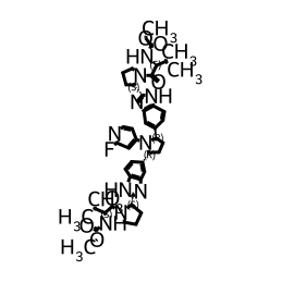 COC(=O)N[C@H](C(=O)N1CCC[C@H]1c1nc2cc([C@H]3CC[C@H](c4ccc5[nH]c([C@@H]6CCCN6C(=O)[C@@H](NC(=O)OC)C(C)C)nc5c4)N3c3ccnc(F)c3)ccc2[nH]1)C(C)C